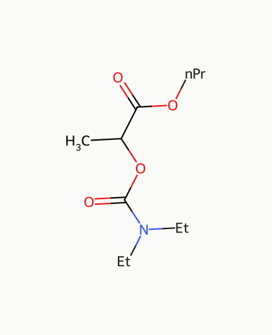 CCCOC(=O)C(C)OC(=O)N(CC)CC